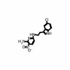 Nc1nc(NCCc2c[nH]c3ccc(Cl)cc23)ccc1[N+](=O)[O-]